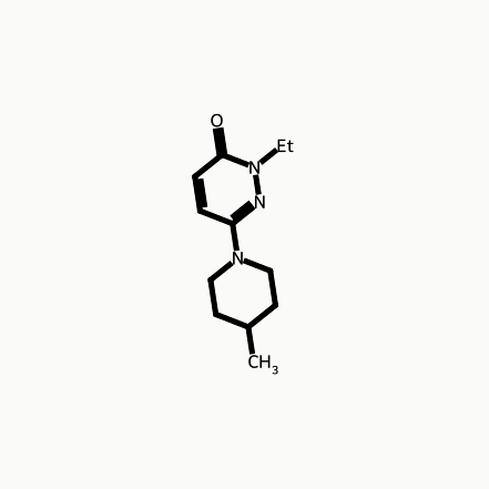 CCn1nc(N2CCC(C)CC2)ccc1=O